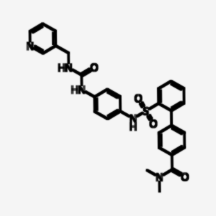 CN(C)C(=O)c1ccc(-c2ccccc2S(=O)(=O)Nc2ccc(NC(=O)NCc3cccnc3)cc2)cc1